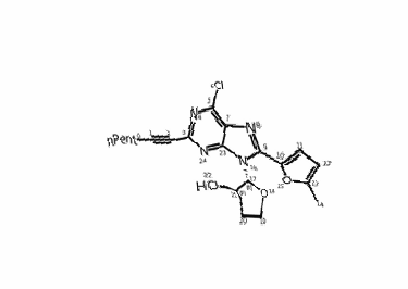 CCCCCC#Cc1nc(Cl)c2nc(-c3ccc(C)o3)n([C@@H]3OCC[C@H]3O)c2n1